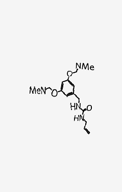 C=CCNC(=O)NCc1cc(OCNC)cc(OCNC)c1